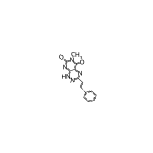 Cn1c(=O)nc2[nH]nc(/C=C/c3ccccc3)nc-2c1=O